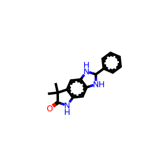 CC1(C)C(=O)Nc2cc3c(cc21)NC(c1ccccc1)N3